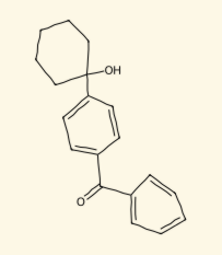 O=C(c1ccccc1)c1ccc(C2(O)CCCCC2)cc1